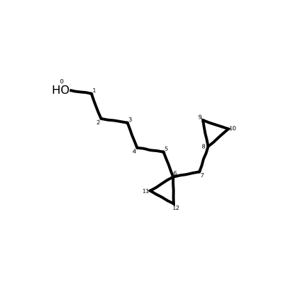 OCCCCCC1(CC2CC2)CC1